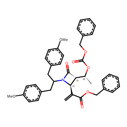 C=C(C(=O)OCc1ccccc1)[C@@H]1[C@@H]([C@@H](C)OC(=O)OCc2ccccc2)C(=O)N1C(Cc1ccc(OC)cc1)Cc1ccc(OC)cc1